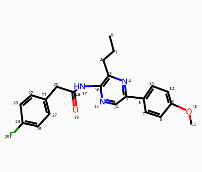 CCCc1nc(-c2ccc(OC)cc2)cnc1NC(=O)Cc1ccc(F)cc1